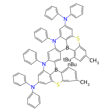 CCCCc1cc(C)cc2c1B1c3cc4c(cc3N(c3ccccc3)c3cc(N(c5ccccc5)c5ccccc5)cc(c31)S2)N(c1ccccc1)c1cc(N(c2ccccc2)c2ccccc2)cc2c1B4c1c(cc(C)cc1C(C)(C)C)S2